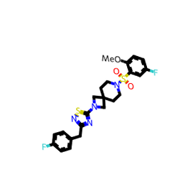 COc1ccc(F)cc1S(=O)(=O)N1CCC2(CC1)CN(c1nc(Cc3ccc(F)cc3)ns1)C2